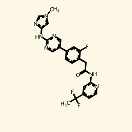 Cn1cnc(Nc2ncc(-c3ccc(CC(=O)Nc4cc(C(C)(F)F)ccn4)c(F)c3)cn2)c1